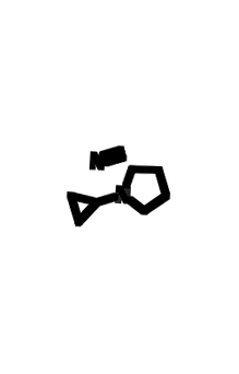 C#N.C1CCN(C2CC2)C1